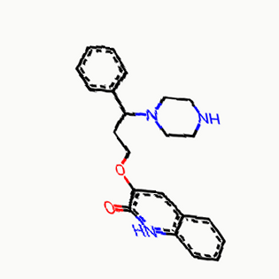 O=c1[nH]c2ccccc2cc1OCCC(c1ccccc1)N1CCNCC1